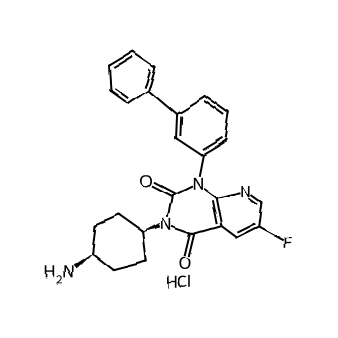 Cl.N[C@H]1CC[C@@H](n2c(=O)c3cc(F)cnc3n(-c3cccc(-c4ccccc4)c3)c2=O)CC1